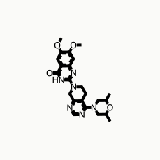 COc1cc2nc(N3CCc4c(ncnc4N4CC(C)OC(C)C4)C3)[nH]c(=O)c2cc1OC